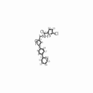 O=C(NCc1cc(-c2ccc(-c3ccccn3)cc2)no1)c1ccc(Cl)s1